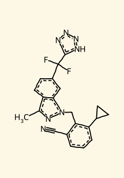 Cc1nn(Cc2c(C#N)cccc2C2CC2)c2cc(C(F)(F)c3nnn[nH]3)ccc12